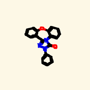 O=c1n(-c2ccccc2)nc2n1-c1ccccc1Oc1ccccc1-2